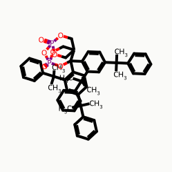 CC(C)(c1ccccc1)c1ccc(C2(c3ccc(C(C)(C)c4ccccc4)cc3C(C)(C)c3ccccc3)OP3(=O)OCC24COP(=O)(OC4)O3)c(C(C)(C)c2ccccc2)c1